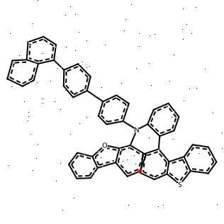 c1ccc(N(c2ccc(-c3ccc(-c4cccc5ccccc45)cc3)cc2)c2cccc3c2oc2ccccc23)c(-c2cccc3sc4ccccc4c23)c1